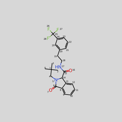 CC(C)(C)CN1C(=O)c2ccccc2C1C(=O)NCCc1cccc(C(F)(F)F)c1